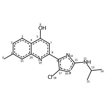 Cc1ccc2c(O)cc(-c3nc(NC(C)C)sc3Cl)nc2c1